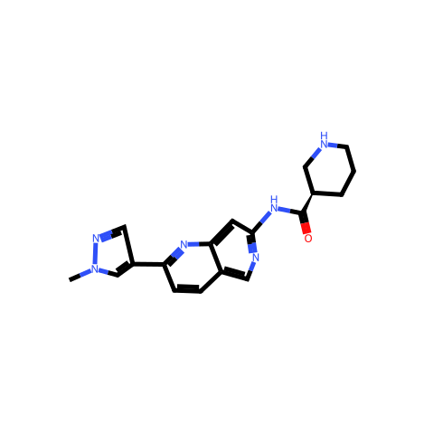 Cn1cc(-c2ccc3cnc(NC(=O)[C@@H]4CCCNC4)cc3n2)cn1